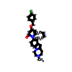 CN1CCc2cc3cc(-n4ccc(OCc5ccc(Cl)cc5)cc4=O)ccc3n2CC1.O=C(O)/C=C\C(=O)O